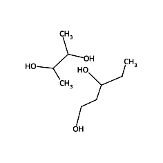 CC(O)C(C)O.CCC(O)CCO